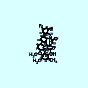 COc1cccc([C@]2([C@H](Oc3nc(C)cc(C)n3)C(=O)O)NCC(=O)N(Cc3c(F)cc(F)cc3F)c3ccccc32)c1